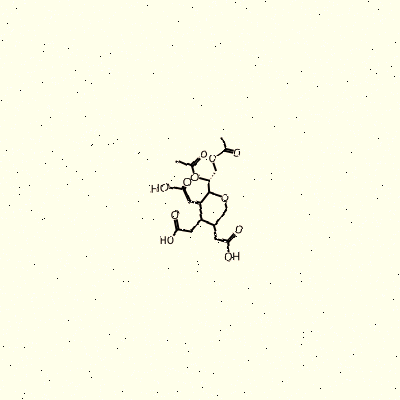 CC(=O)OC[C@@H](OC(C)=O)C1OCC(CC(=O)O)C(CC(=O)O)C1CC(=O)O